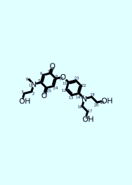 CN(CCO)C1=CC(=O)C(Oc2ccc(N(CCO)CCO)cc2)=CC1=O